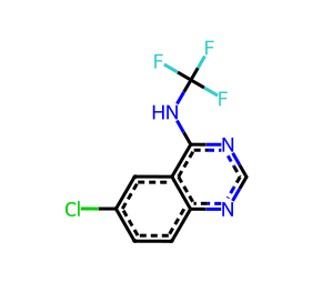 FC(F)(F)Nc1ncnc2ccc(Cl)cc12